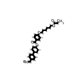 C=CC(=O)OCCCCCCOc1ccc(C(=O)OC2=CC=C(c3ccc(CC(C)CC)cc3)CC2)cc1